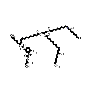 CCCCCCC(O)C/C=C\CCCCCCCC(=O)OCC(COC(=O)CCCCCCC/C=C\CC(CCCCCC)OC(=O)Nc1ccc(C)c(NC(=O)OCC(O)CO)c1)OC(=O)CCCCCCC/C=C\CC(O)CCCCCC